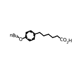 CCCCOc1ccc(CCCCCC(=O)O)cc1